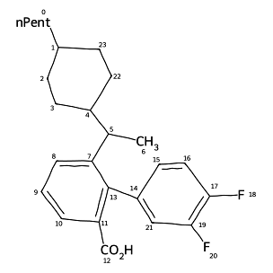 CCCCCC1CCC(C(C)c2cccc(C(=O)O)c2-c2ccc(F)c(F)c2)CC1